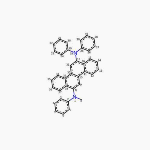 CN(c1ccccc1)c1cc2c3ccccc3c(N(c3ccccc3)c3ccccc3)cc2c2ccccc12